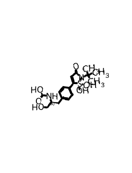 CC(C)(C)N1C(=O)C=C(c2ccc(C[C@@H](CO)NC(=O)O)cc2)S1(O)O